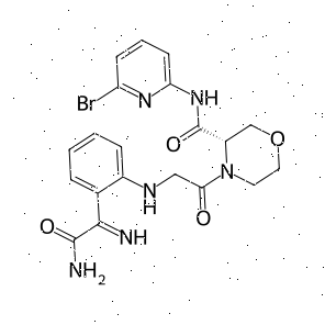 N=C(C(N)=O)c1ccccc1NCC(=O)N1CCOC[C@H]1C(=O)Nc1cccc(Br)n1